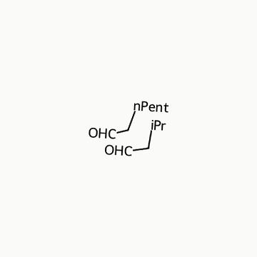 CC(C)CC=O.CCCCCCC=O